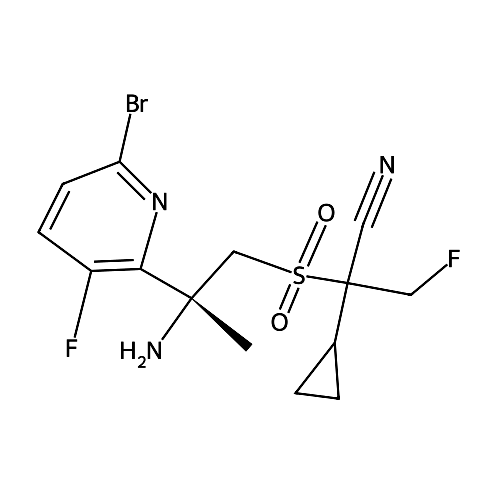 C[C@](N)(CS(=O)(=O)C(C#N)(CF)C1CC1)c1nc(Br)ccc1F